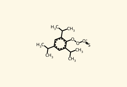 CC(C)c1cc(C(C)C)c(OO[O+]=S)c(C(C)C)c1